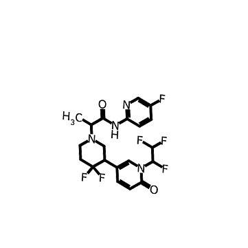 CC(C(=O)Nc1ccc(F)cn1)N1CCC(F)(F)C(c2ccc(=O)n(C(F)C(F)F)c2)C1